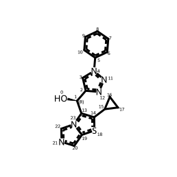 O[C@@H](c1cn(-c2ccccc2)nn1)c1c(C2CC2)sc2cncn12